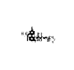 CC(Nc1ccc2cnc(NC(=O)NCCN(C)C)nc2c1)c1cccc(F)c1